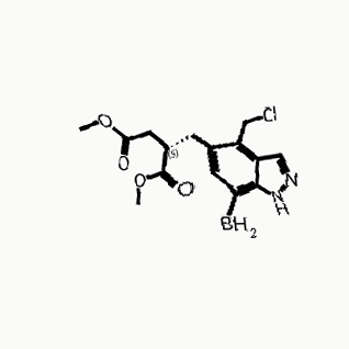 Bc1cc(C[C@@H](CC(=O)OC)C(=O)OC)c(CCl)c2cn[nH]c12